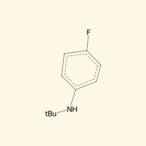 CC(C)(C)Nc1ccc(F)cc1